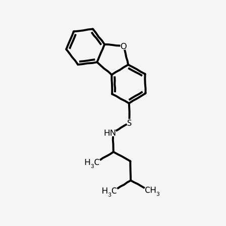 CC(C)CC(C)NSc1ccc2oc3ccccc3c2c1